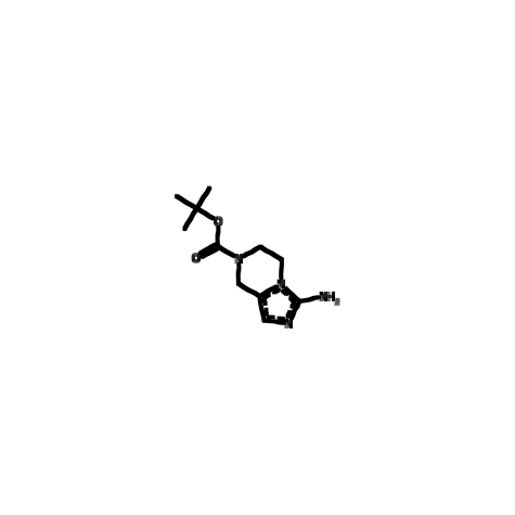 CC(C)(C)OC(=O)N1CCn2c(cnc2N)C1